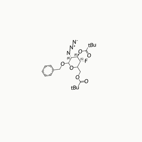 CC(C)(C)C(=O)OCC1OC(OCc2ccccc2)[C@H](N=[N+]=[N-])[C@@H](OC(=O)C(C)(C)C)[C@@H]1F